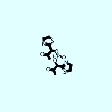 CC(=O)C(O[PH](=O)OC(C(C)=O)c1nccs1)c1nccs1